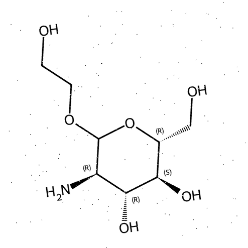 N[C@H]1C(OCCO)O[C@H](CO)[C@@H](O)[C@@H]1O